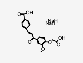 COc1cc(C(=O)C=Cc2ccc(C(=O)O)cc2)ccc1OCC(=O)O.[NaH].[NaH]